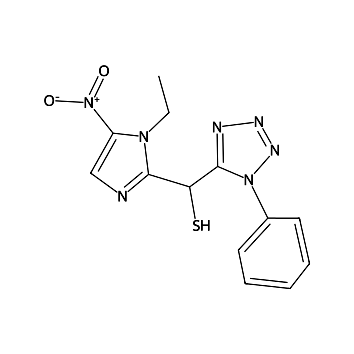 CCn1c([N+](=O)[O-])cnc1C(S)c1nnnn1-c1ccccc1